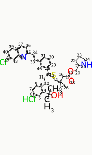 CC(C)(O)c1ccccc1CC[C@@H](SCC1(CC(=O)OCC2CCCN2)CC1)c1cccc(C=Cc2ccc3ccc(Cl)cc3n2)c1.Cl